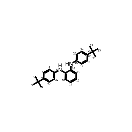 CC(C)(C)c1ccc(Nc2ccccc2Nc2ccc(C(C)(C)C)cc2)cc1